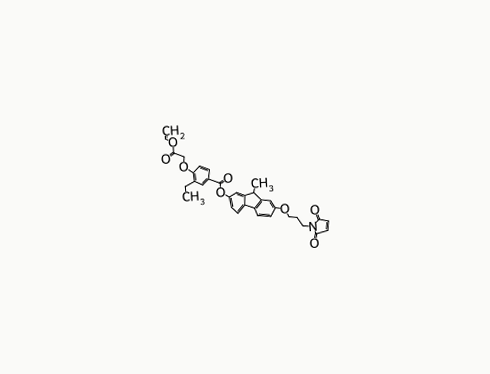 C=COC(=O)COc1ccc(C(=O)Oc2ccc3c(c2)C(C)c2cc(OCCCN4C(=O)C=CC4=O)ccc2-3)cc1CC